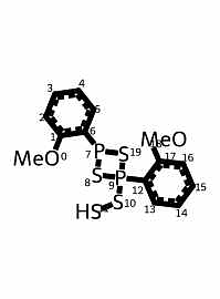 COc1ccccc1P1S[P](SS)(c2ccccc2OC)S1